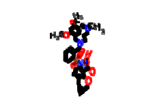 COc1ccc(CN(CCCN(C)C)C(=O)c2ccccc2S(=O)(=O)Nc2ccc3c(c2C(=O)O)OCC2CC32)c(OC)c1